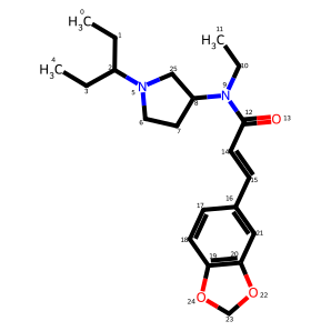 CCC(CC)N1CCC(N(CC)C(=O)/C=C/c2ccc3c(c2)OCO3)C1